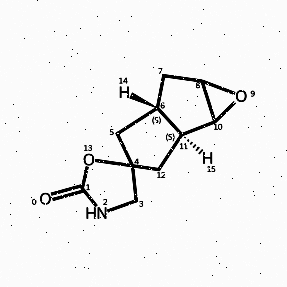 O=C1NCC2(C[C@@H]3CC4OC4[C@H]3C2)O1